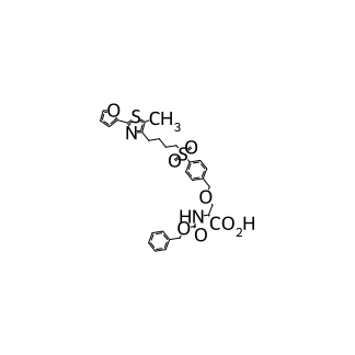 Cc1sc(-c2ccco2)nc1CCCCS(=O)(=O)c1ccc(COC[C@H](NC(=O)OCc2ccccc2)C(=O)O)cc1